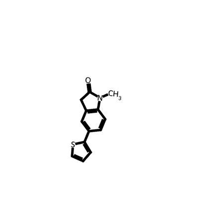 CN1C(=O)Cc2cc(-c3cccs3)ccc21